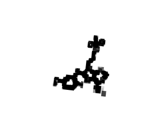 COc1ccc(I)c(Sc2nc3c(N)ncnc3n2CCCOS(C)(=O)=O)c1